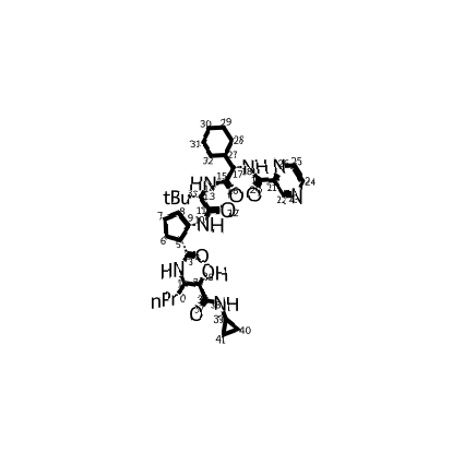 CCCC(NC(=O)[C@@H]1CCC[C@@H]1NC(=O)[C@@H](NC(=O)[C@@H](NC(=O)c1cnccn1)C1CCCCC1)C(C)(C)C)C(O)C(=O)NC1CC1